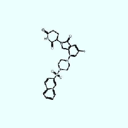 O=C1CCC(N2Cc3c(cc(F)cc3N3CCN(S(=O)(=O)c4ccc5ccccc5c4)CC3)C2=O)C(=O)N1